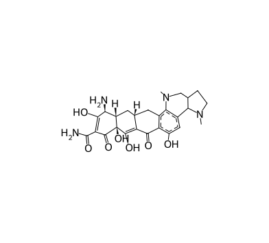 CN1CC2CCN(C)C2c2cc(O)c3c(c21)C[C@H]1C[C@H]2[C@H](N)C(O)=C(C(N)=O)C(=O)[C@@]2(O)C(O)=C1C3=O